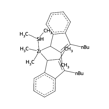 CCCCC1=C(C)[CH]([Zr]([CH3])([CH3])([CH]2C(C)=C(CCCC)c3ccccc32)[SiH](C)C)c2ccccc21